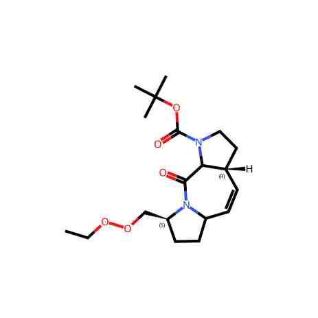 CCOOC[C@@H]1CCC2C=C[C@H]3CCN(C(=O)OC(C)(C)C)C3C(=O)N21